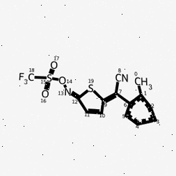 Cc1ccccc1/C(C#N)=C1\C=CC(=NOS(=O)(=O)C(F)(F)F)S1